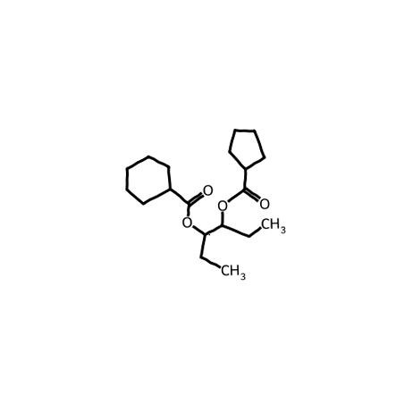 CC[C](OC(=O)C1CCCCC1)C(CC)OC(=O)C1CCCC1